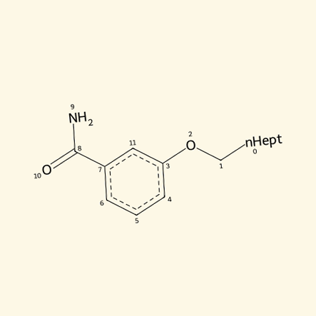 CCCCCCCCOc1cccc(C(N)=O)c1